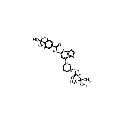 CC(C)(C)OC(=O)N[C@H]1CCCN(c2cc(NC(=O)c3ccc(C(C)(C)O)cc3)nc3ccnn23)C1